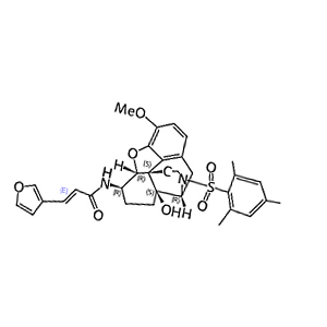 COc1ccc2c3c1O[C@H]1[C@H](NC(=O)/C=C/c4ccoc4)CC[C@@]4(O)[C@@H](C2)N(S(=O)(=O)c2c(C)cc(C)cc2C)CC[C@]314